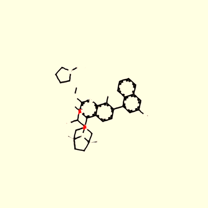 CN1CCC[C@H]1COc1nc(N2C[C@H]3CC[C@@H](C2)N3CC(O)CO)c2ccc(-c3cc(O)cc4ccccc34)c(F)c2n1